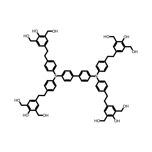 OCc1cc(CCc2ccc(N(c3ccc(CCc4cc(CO)c(O)c(CO)c4)cc3)c3ccc(-c4ccc(N(c5ccc(CCc6cc(CO)c(O)c(CO)c6)cc5)c5ccc(CCc6cc(CO)c(O)c(CO)c6)cc5)cc4)cc3)cc2)cc(CO)c1O